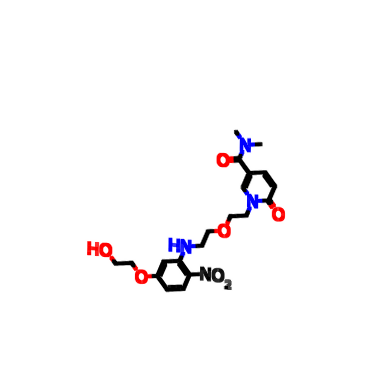 CN(C)C(=O)c1ccc(=O)n(CCOCCNc2cc(OCCO)ccc2[N+](=O)[O-])c1